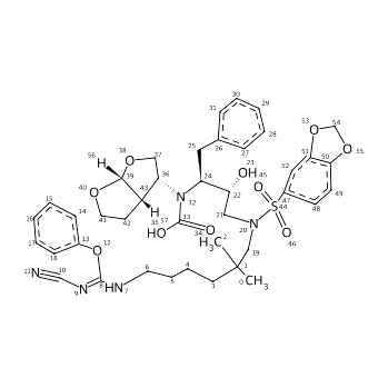 CC(C)(CCCCNC(=NC#N)Oc1ccccc1)CN(C[C@@H](O)[C@H](Cc1ccccc1)N(C(=O)O)[C@H]1CO[C@H]2OCC[C@H]21)S(=O)(=O)c1ccc2c(c1)OCO2